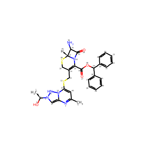 CC1=NC2=CN([C@H](C)O)NN2C(SCC2=C(C(=O)OC(c3ccccc3)c3ccccc3)N3C(=O)C(N)[C@H]3SC2)=C1